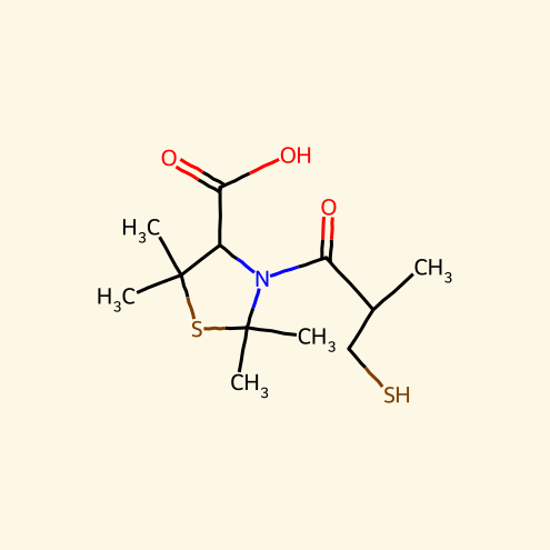 CC(CS)C(=O)N1C(C(=O)O)C(C)(C)SC1(C)C